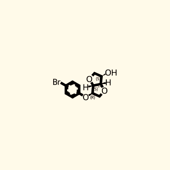 O[C@H]1CO[C@@H]2[C@H]1OC[C@H]2Oc1ccc(Br)cc1